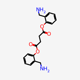 NCc1ccccc1OC(=O)CCC(=O)Oc1ccccc1CN